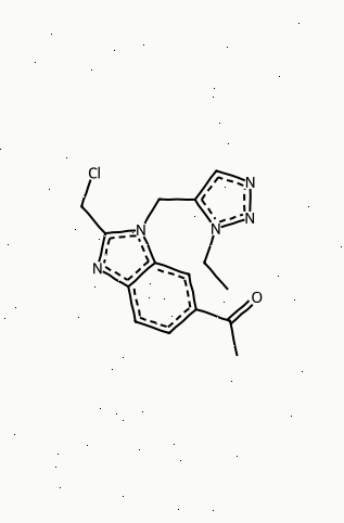 CCn1nncc1Cn1c(CCl)nc2ccc(C(C)=O)cc21